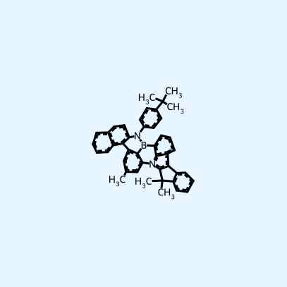 Cc1cc2c3c(c1)-n1c4c(c5cccc(c51)B3N(c1ccc(C(C)(C)C)cc1)c1ccc3ccccc3c1-2)-c1ccccc1C4(C)C